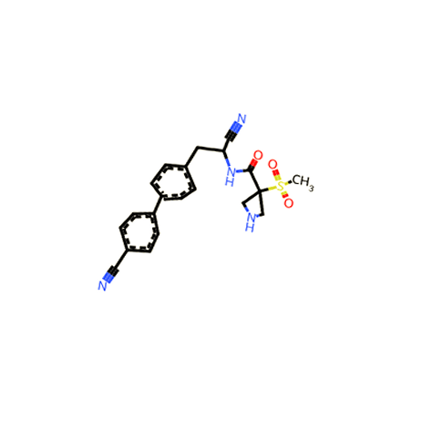 CS(=O)(=O)C1(C(=O)NC(C#N)Cc2ccc(-c3ccc(C#N)cc3)cc2)CNC1